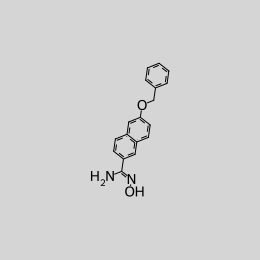 NC(=NO)c1ccc2cc(OCc3ccccc3)ccc2c1